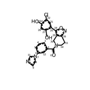 O=C(c1cccc(-n2ccnc2)c1)N1CCc2noc(-c3cc(Cl)c(O)cc3O)c2C1